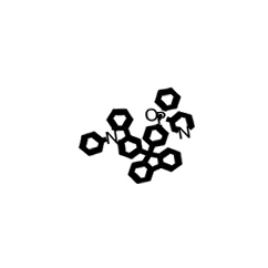 O=P(c1ccccc1)(c1ccc(C2(c3ccc4c(c3)c3ccccc3n4-c3ccccc3)c3ccccc3-c3ccccc32)cc1)c1cccnc1